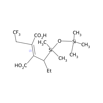 CCC(/C(C(=O)O)=C(/CC(F)(F)F)C(=O)O)[Si](C)(C)O[Si](C)(C)C